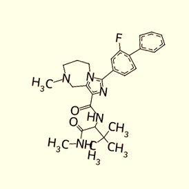 CNC(=O)C(NC(=O)c1nc(-c2ccc(-c3ccccc3)c(F)c2)n2c1CN(C)CCC2)C(C)(C)C